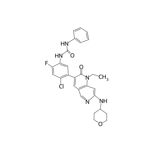 CCn1c(=O)c(-c2cc(NC(=O)Nc3ccccc3)c(F)cc2Cl)cc2cnc(NC3CCOCC3)cc21